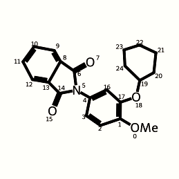 COc1ccc(N2C(=O)c3ccccc3C2=O)cc1OC1CCCCC1